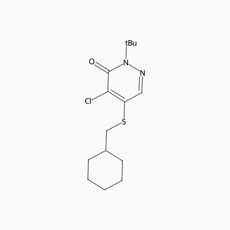 CC(C)(C)n1ncc(SCC2CCCCC2)c(Cl)c1=O